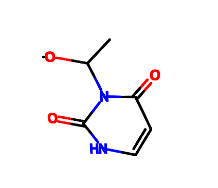 CC([O])n1c(=O)cc[nH]c1=O